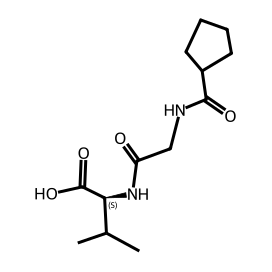 CC(C)[C@H](NC(=O)CNC(=O)C1CCCC1)C(=O)O